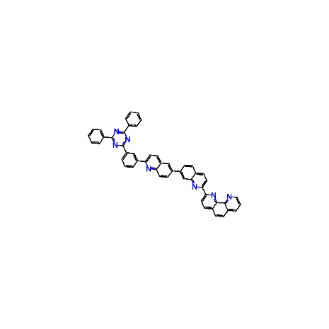 c1ccc(-c2nc(-c3ccccc3)nc(-c3cccc(-c4ccc5cc(-c6ccc7ccc(-c8ccc9ccc%10cccnc%10c9n8)nc7c6)ccc5n4)c3)n2)cc1